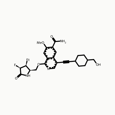 CC[C@@H]1[C@H](F)C(=O)N[C@@H]1COc1ncc(C#CC2CCC(CO)CC2)c2cc(C(N)=O)c(OC)cc12